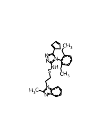 CCc1cccc(CC)c1-n1c(NSCCn2c(C)nc3ccccc32)nnc1C1=CC=CC1